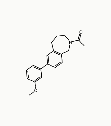 COc1cccc(-c2ccc3c(c2)CCCN(C(C)=O)C3)c1